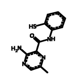 Cc1cnc(N)c(C(=O)Nc2ccccc2S)n1